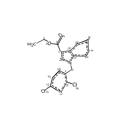 CCOC(=O)c1nn(Cc2ccc(Cl)nc2Cl)c2ccccc12